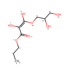 CCCOC(=O)C(O)=C(O)OCC(O)CO